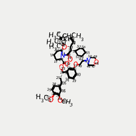 C/C=C/[C@@H](O[Si](C)(C)C(C)(C)C)[C@@H](C(=O)N1CCCC[C@@H]1C(=O)O[C@@H](CCc1ccc(OC)c(OC)c1)c1cccc(OCCN2CCOCC2)c1)C1CCCCC1